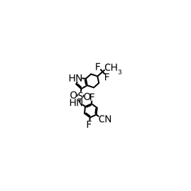 CC(F)(F)C1CCc2c(S(=O)(=O)Nc3cc(F)c(C#N)cc3F)c[nH]c2C1